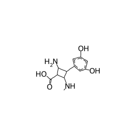 CNC1C(C(=O)O)C(N)C1c1cc(O)cc(O)c1